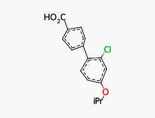 CC(C)Oc1ccc(-c2ccc(C(=O)O)cc2)c(Cl)c1